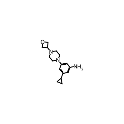 Nc1cc(C2CC2)cc(N2CCN(C3COC3)CC2)c1